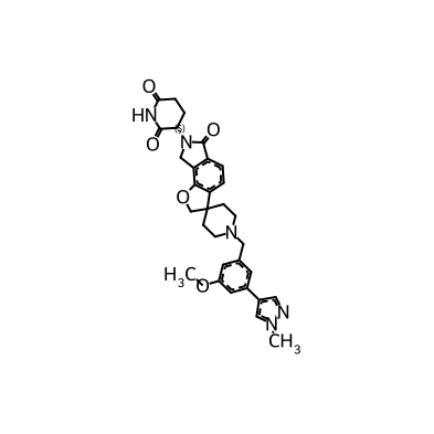 COc1cc(CN2CCC3(CC2)COc2c3ccc3c2CN([C@H]2CCC(=O)NC2=O)C3=O)cc(-c2cnn(C)c2)c1